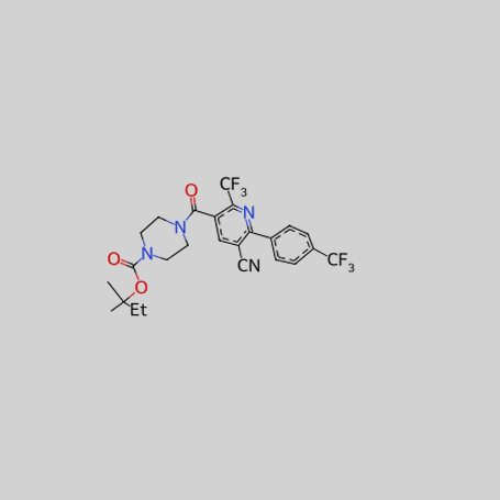 CCC(C)(C)OC(=O)N1CCN(C(=O)c2cc(C#N)c(-c3ccc(C(F)(F)F)cc3)nc2C(F)(F)F)CC1